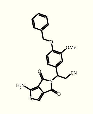 COc1cc(C(CC#N)N2C(=O)c3csc(N)c3C2=O)ccc1OCc1ccccc1